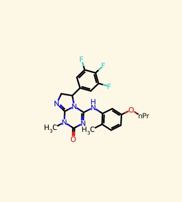 CCCOc1ccc(C)c(NC2=NC(=O)N(C)C3=NCC(c4cc(F)c(F)c(F)c4)N23)c1